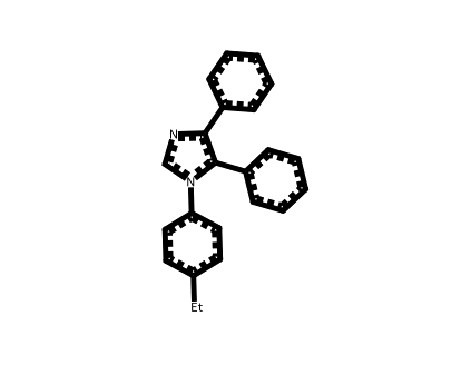 [CH2]Cc1ccc(-n2cnc(-c3ccccc3)c2-c2ccccc2)cc1